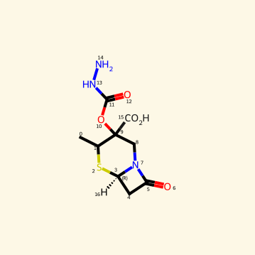 CC1S[C@@H]2CC(=O)N2CC1(OC(=O)NN)C(=O)O